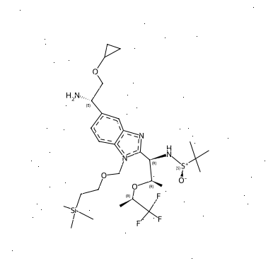 C[C@@H](O[C@H](C)C(F)(F)F)[C@H](N[S@+]([O-])C(C)(C)C)c1nc2cc([C@H](N)COC3CC3)ccc2n1COCC[Si](C)(C)C